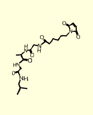 CC(C)CNC(=O)CNC(=O)C(C)NC(=O)CNC(=O)CCCCCN1C(=O)C=CC1=O